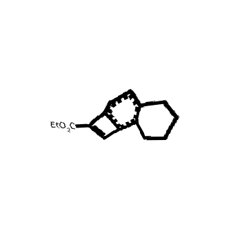 CCOC(=O)C1=Cc2c1ccc1c2CCCC1